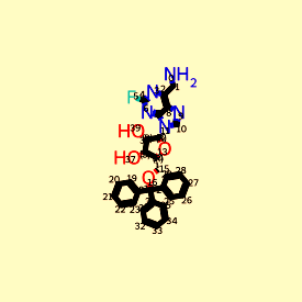 NCc1nc(F)nc2c1ncn2[C@@H]1O[C@H](COC(c2ccccc2)(c2ccccc2)c2ccccc2)[C@@H](O)[C@H]1O